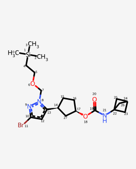 C[Si](C)(C)CCOCn1nc(Br)cc1[C@H]1CC[C@@H](OC(=O)NC23CC(C2)C3)C1